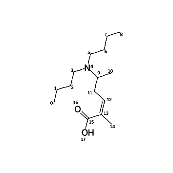 CCCCN(CCCC)C(C)CC=C(C)C(=O)O